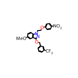 COc1ccc2c(c1)c(OCc1cccc(C(F)(F)F)c1)nn2CCOc1ccc([N+](=O)[O-])cc1